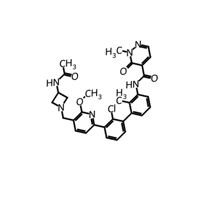 COc1nc(-c2cccc(-c3cccc(NC(=O)c4ccnn(C)c4=O)c3C)c2Cl)ccc1CN1CC(NC(C)=O)C1